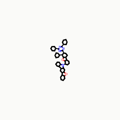 c1ccc(-c2nc(-c3ccccc3)nc(-c3ccc4c(oc5c(-n6c7ccccc7c7cc8c(cc76)oc6ccccc68)cccc54)c3-c3ccccc3)n2)cc1